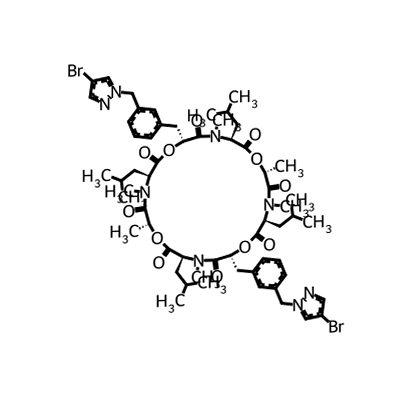 CC(C)C[C@H]1C(=O)O[C@H](Cc2cccc(Cn3cc(Br)cn3)c2)C(=O)N(C)[C@@H](CC(C)C)C(=O)O[C@H](C)C(=O)N(C)[C@@H](CC(C)C)C(=O)O[C@H](Cc2cccc(Cn3cc(Br)cn3)c2)C(=O)N(C)[C@@H](CC(C)C)C(=O)O[C@H](C)C(=O)N1C